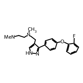 CNCCN(C)Cc1c[nH]nc1-c1ccc(Oc2ccccc2F)cc1